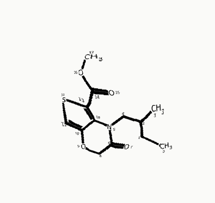 CCC(C)CN1C(=O)COc2csc(C(=O)OC)c21